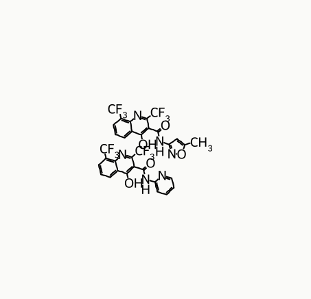 Cc1cc(NC(=O)c2c(C(F)(F)F)nc3c(C(F)(F)F)cccc3c2O)no1.O=C(Nc1ccccn1)c1c(C(F)(F)F)nc2c(C(F)(F)F)cccc2c1O